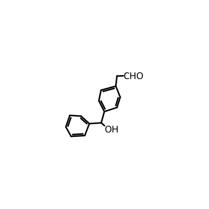 O=CCc1ccc(C(O)c2ccccc2)cc1